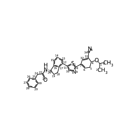 CC(C)OC1CC=C(c2ncc(-c3cccc4c3CC[C@@H]4NC(=O)Cc3ccccc3)s2)C=C1C#N